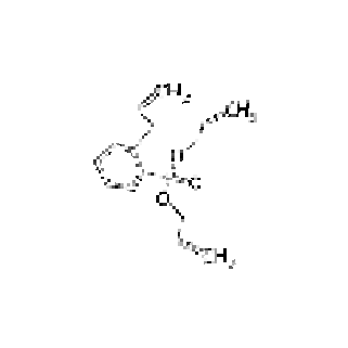 C=CCOP(=O)(OCC=C)c1ccccc1CC=C